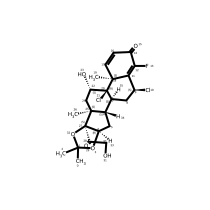 CC1(C)O[C@@H]2C[C@H]3[C@@H]4C[C@H](Cl)C5=C(F)C(=O)C=C[C@]5(C)[C@@]4(Cl)[C@@H](O)C[C@]3(C)[C@]2(C(=O)CO)O1